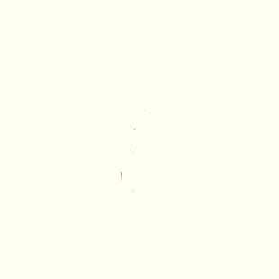 CC(C)(C)C(=O)ON1CCN(c2ccnc(Cl)c2)CC1